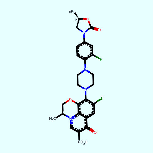 CCC[C@@H]1CN(c2ccc(N3CCN(c4c(F)cc5c(=O)c(C(=O)O)cn6c5c4OCC6C)CC3)c(F)c2)C(=O)O1